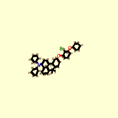 CC1(C)c2ccc(Oc3cccc(Oc4ccccc4)c3Br)cc2-c2ccc(N(c3ccccc3)c3ccccc3)c3cccc1c23